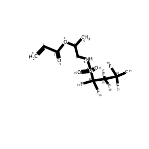 C=CC(=O)OC(C)CNS(=O)(=O)C(F)(F)C(F)(F)C(F)(F)F